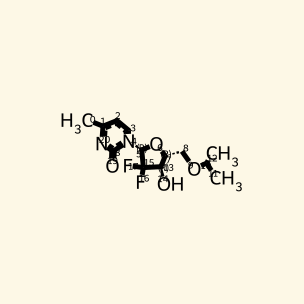 Cc1ccn([C@@H]2O[C@H](COC(C)C)[C@@H](O)C2(F)F)c(=O)n1